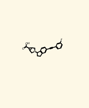 O=C(O)C1C2CN(C3CCc4cc(C#Cc5cccc(F)c5)ccc43)CC21